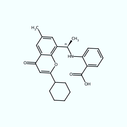 Cc1cc([C@@H](C)Nc2ccccc2C(=O)O)c2oc(C3CCCCC3)cc(=O)c2c1